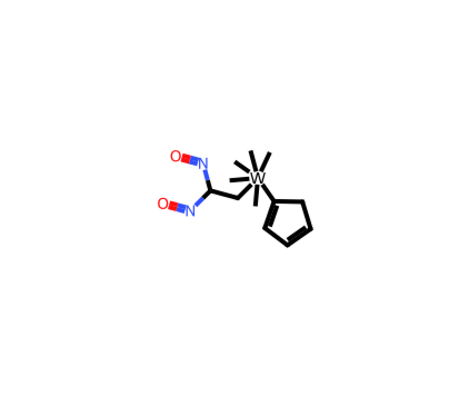 [CH3][W]([CH3])([CH3])([CH3])([CH3])([CH2]C(N=O)N=O)[C]1=CC=CC1